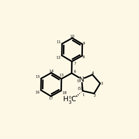 C[C@H]1CCCN1C(c1ccccc1)c1ccccc1